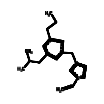 C=C[n+]1ccn(Cc2cc(CCC)cc(CC(C)C)c2)c1